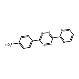 O=C(O)c1ccc(-c2nnc(-c3ncccn3)nn2)cc1